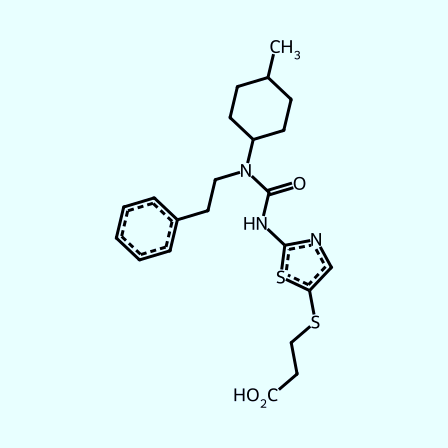 CC1CCC(N(CCc2ccccc2)C(=O)Nc2ncc(SCCC(=O)O)s2)CC1